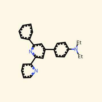 CCN(CC)c1ccc(-c2cc(-c3ccccc3)nc(-c3ccccn3)c2)cc1